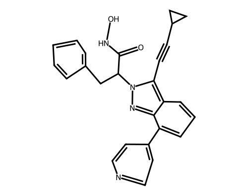 O=C(NO)C(Cc1ccccc1)n1nc2c(-c3ccncc3)cccc2c1C#CC1CC1